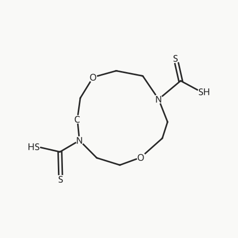 S=C(S)N1CCOCCN(C(=S)S)CCOCC1